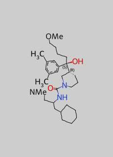 CNCC(CC1CCCCC1)NC(=O)N1CCC[C@@H]([C@@](O)(CCCCOC)c2cc(C)cc(C)c2)C1